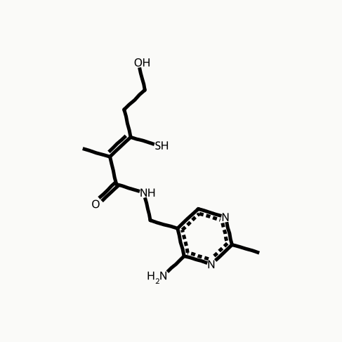 CC(C(=O)NCc1cnc(C)nc1N)=C(S)CCO